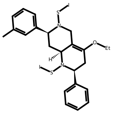 CCOC1=C2CN(SI)[C@H](c3cccc(C)c3)C[C@@H]2N(SI)[C@H](c2ccccc2)C1